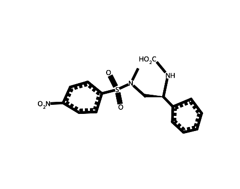 CN(C[C@@H](NC(=O)O)c1ccccc1)S(=O)(=O)c1ccc([N+](=O)[O-])cc1